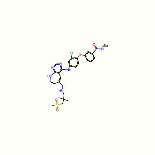 CC(C)(CNCC1=Cc2c(ncnc2Nc2ccc(Oc3cccc(C(=O)NC(C)(C)C)c3)c(Cl)c2)NCC1)CS(C)(=O)=O